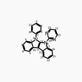 c1ccc(-n2c3ccccc3c3c4ccccc4n(-c4ncccn4)c32)cc1